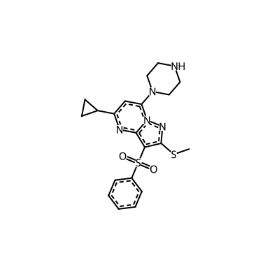 CSc1nn2c(N3CCNCC3)cc(C3CC3)nc2c1S(=O)(=O)c1ccccc1